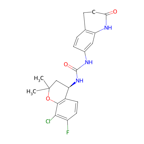 CC1(C)C[C@@H](NC(=O)Nc2ccc3c(c2)NC(=O)CC3)c2ccc(F)c(Cl)c2O1